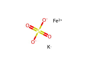 O=S(=O)([O-])[O-].[Fe+2].[K]